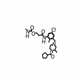 CNC(=O)OCCC(=O)Nc1cc(Cl)cc(CN2CCN(C(=O)C3CCCC3)C(C)C2)c1C